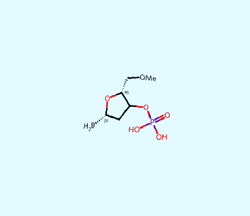 B[C@H]1CC(OP(=O)(O)O)[C@@H](COC)O1